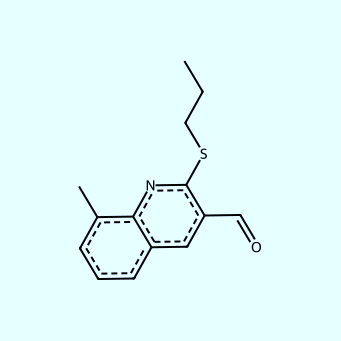 CCCSc1nc2c(C)cccc2cc1C=O